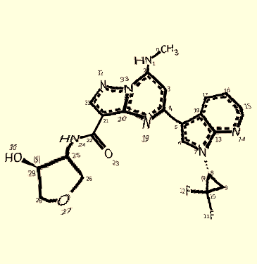 CNc1cc(-c2cn([C@@H]3CC3(F)F)c3ncccc23)nc2c(C(=O)NC3COC[C@H]3O)cnn12